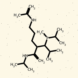 C=C(C)NCCCC(C(=C)NC(C)C)C(C(C)C)P(C)C(C)C